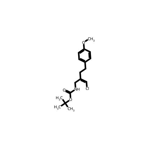 COc1ccc(CCC(=CCl)CNC(=O)OC(C)(C)C)cc1